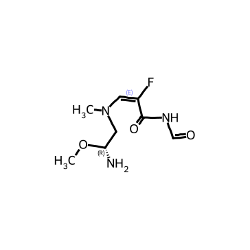 CO[C@@H](N)CN(C)/C=C(/F)C(=O)NC=O